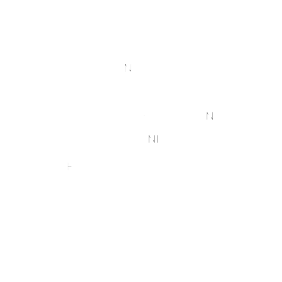 CCC(C#N)(Nc1ccc(F)c(F)c1)c1cccnc1